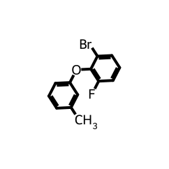 Cc1cccc(Oc2c(F)cccc2Br)c1